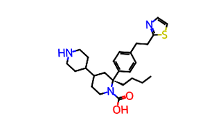 CCCC[C@]1(c2ccc(CCc3nccs3)cc2)CC(C2CCNCC2)CCN1C(=O)O